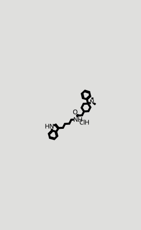 CN(C)C1(c2ccccc2)CCC(CC(=O)NCCCCc2c[nH]c3ccccc23)CC1.Cl